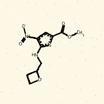 COC(=O)c1cc([N+](=O)[O-])c(NCC2CCO2)s1